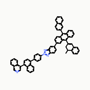 CC1CC(c2c3ccccc3c(-c3ccc4ccccc4c3)c3ccc(-c4ccc5nn(-c6ccc(-c7ccc(-c8cncc9ccccc89)c8ccccc78)cc6)nc5c4)cc23)=Cc2ccccc21